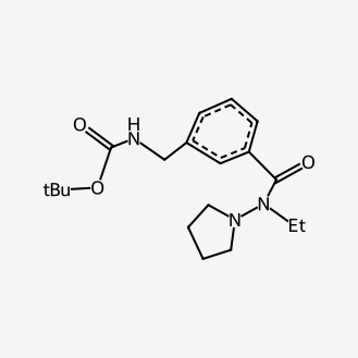 CCN(C(=O)c1cccc(CNC(=O)OC(C)(C)C)c1)N1CCCC1